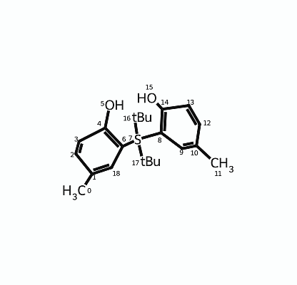 Cc1ccc(O)c(S(c2cc(C)ccc2O)(C(C)(C)C)C(C)(C)C)c1